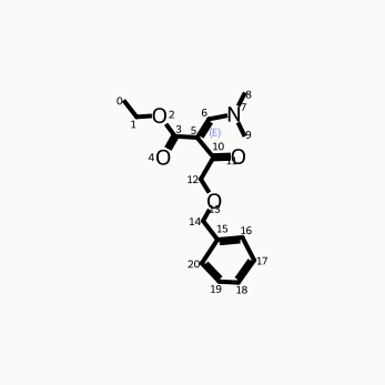 CCOC(=O)/C(=C/N(C)C)C(=O)COCc1ccccc1